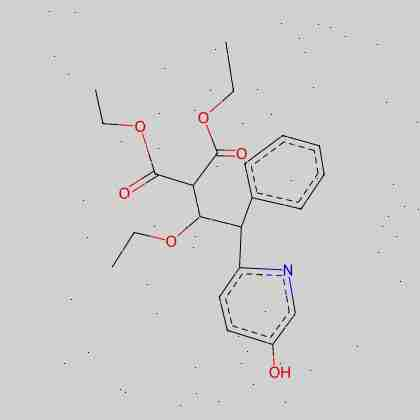 CCOC(=O)C(C(=O)OCC)C(OCC)C(c1ccccc1)c1ccc(O)cn1